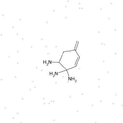 C=C1C=CC(N)(N)C(N)C1